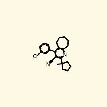 CC1(c2nc3c(c(-c4cccc(Cl)c4)c2C#N)CCCCC3)CCCC1